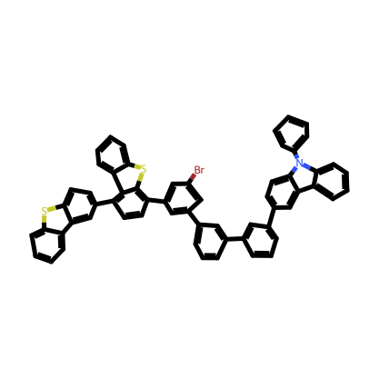 Brc1cc(-c2cccc(-c3cccc(-c4ccc5c(c4)c4ccccc4n5-c4ccccc4)c3)c2)cc(-c2ccc(-c3ccc4sc5ccccc5c4c3)c3c2sc2ccccc23)c1